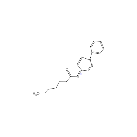 CCCCCCC(=O)/N=c1\ccn(-c2ccccc2)nc1